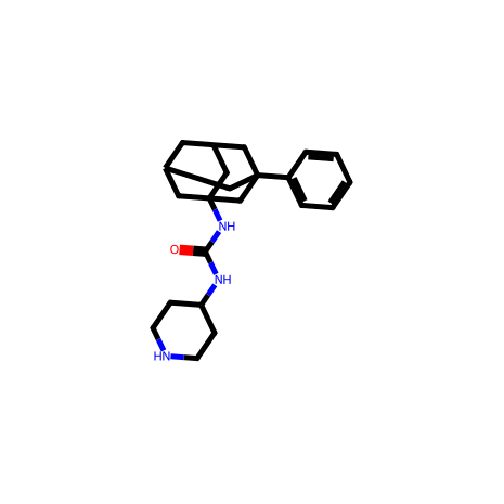 O=C(NC1CCNCC1)NC12CC3CC(C1)CC(c1ccccc1)(C3)C2